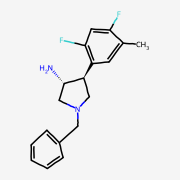 Cc1cc([C@H]2CN(Cc3ccccc3)C[C@@H]2N)c(F)cc1F